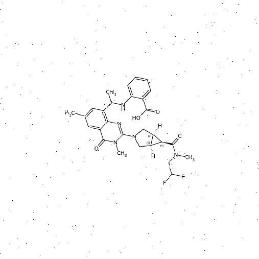 Cc1cc(C(C)Nc2ccccc2C(=O)O)c2nc(N3C[C@@H]4[C@H](C3)[C@@H]4C(=O)N(C)CC(F)F)n(C)c(=O)c2c1